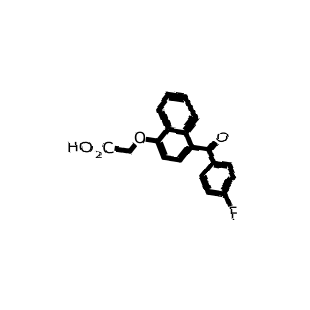 O=C(O)COc1ccc(C(=O)c2ccc(F)cc2)c2ccccc12